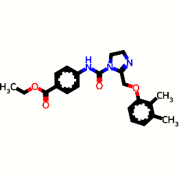 CCOC(=O)c1ccc(NC(=O)N2CCN=C2COc2cccc(C)c2C)cc1